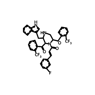 O=C(c1ccccc1C(F)(F)F)C1CNC(Cc2c[nH]c3ccccc23)C(C(=O)c2ccccc2C(F)(F)F)N1C(=O)/C=C/c1cccc(F)c1